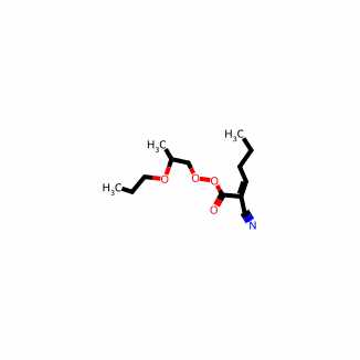 CCCC=C(C#N)C(=O)OOCC(C)OCCC